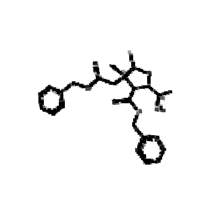 B[C@H](C)C1OC(C)[C@@](C)(CC(=O)OCc2ccccc2)C1C(=O)OCc1ccccc1